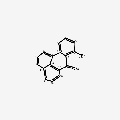 O=C1c2c(Br)cccc2-c2cccc3cccc1c23